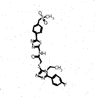 CCn1c(SCC(=O)Nc2nnc(-c3ccc(CS(C)(=O)=O)cc3)s2)nnc1-c1ccc(F)cc1